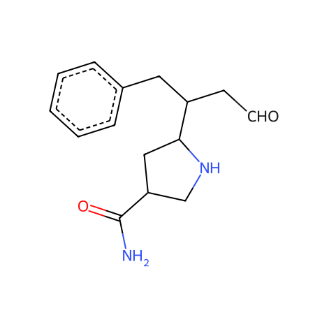 NC(=O)C1CNC(C(CC=O)Cc2ccccc2)C1